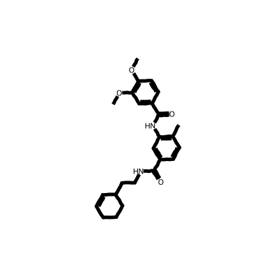 COc1ccc(C(=O)Nc2cc(C(=O)NCCC3C=CCCC3)ccc2C)cc1OC